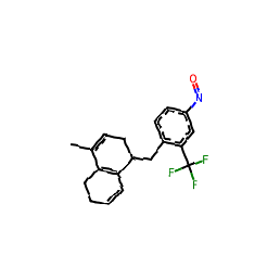 CC1=CCC(Cc2ccc(N=O)cc2C(F)(F)F)C2=C1CCC=C2